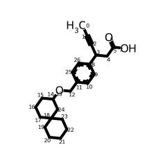 CC#CC(CC(=O)O)c1ccc(COC2CCCC3(CCCCC3)C2)cc1